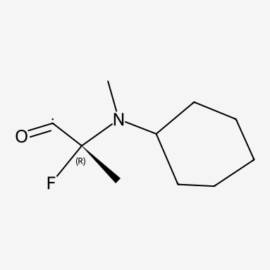 CN(C1CCCCC1)[C@](C)(F)[C]=O